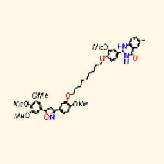 COc1cc(C2NC(=O)c3cc(C)ccc3N2)ccc1OCCCCCCCCCOc1cc(C2=NOC(c3cc(OC)c(OC)c(OC)c3)C2)ccc1OC